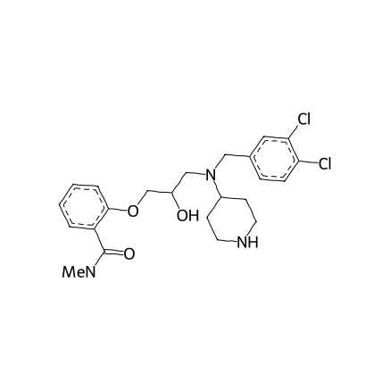 CNC(=O)c1ccccc1OCC(O)CN(Cc1ccc(Cl)c(Cl)c1)C1CCNCC1